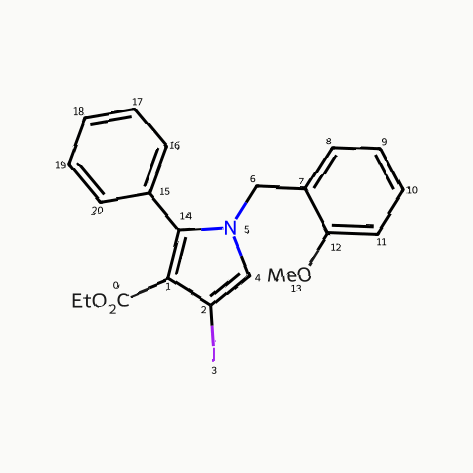 CCOC(=O)c1c(I)cn(Cc2ccccc2OC)c1-c1ccccc1